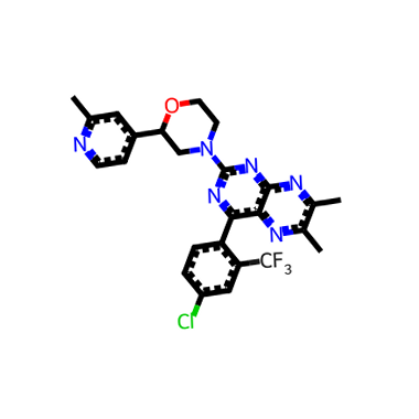 Cc1cc(C2CN(c3nc(-c4ccc(Cl)cc4C(F)(F)F)c4nc(C)c(C)nc4n3)CCO2)ccn1